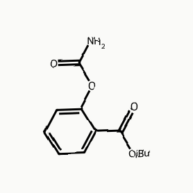 CC(C)COC(=O)c1ccccc1OC(N)=O